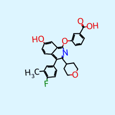 Cc1cc(-c2c(C3CCOCC3)nc(Oc3cccc(C(=O)O)c3)c3cc(O)ccc23)ccc1F